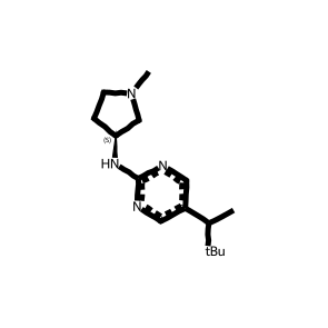 CC(c1cnc(N[C@H]2CCN(C)C2)nc1)C(C)(C)C